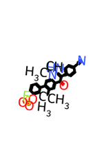 CC(C)c1cc2c(=O)c3c4ccc(C#N)cc4[nH]c3n(C(C)C)c2cc1-c1cccc(OS(=O)(=O)F)c1